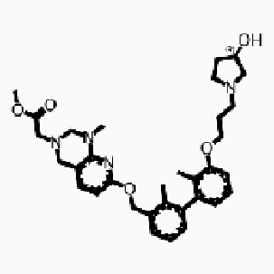 COC(=O)CN1Cc2ccc(OCc3cccc(-c4cccc(OCCCN5CC[C@@H](O)C5)c4C)c3C)nc2N(C)C1